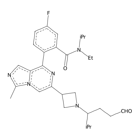 CCN(C(=O)c1cc(F)ccc1-c1nc(C2CN(C(CCC=O)C(C)C)C2)cn2c(C)ncc12)C(C)C